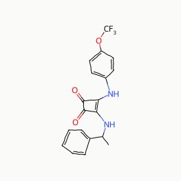 CC(Nc1c(Nc2ccc(OC(F)(F)F)cc2)c(=O)c1=O)c1ccccc1